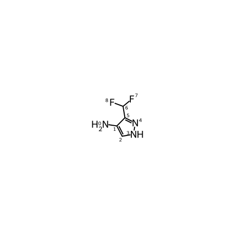 Nc1c[nH]nc1C(F)F